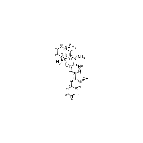 CN(c1ncc(-c2cc3ccncc3cc2O)nn1)[C@@H]1C[C@@]2(C)CCC[C@](C)(N2)[C@H]1F